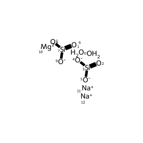 O.O.O=[Si]([O-])[O-].O=[Si]([O-])[O-].[Mg+2].[Na+].[Na+]